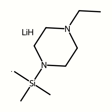 [CH2][Si](C)(C)N1CCN(CC)CC1.[LiH]